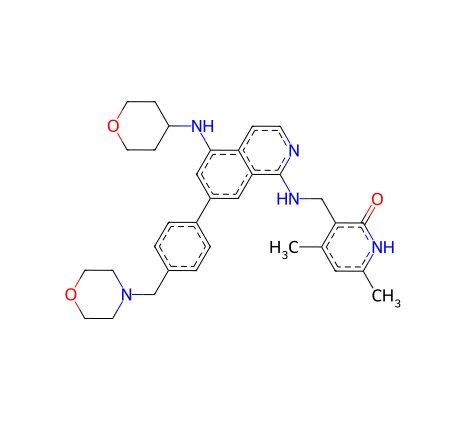 Cc1cc(C)c(CNc2nccc3c(NC4CCOCC4)cc(-c4ccc(CN5CCOCC5)cc4)cc23)c(=O)[nH]1